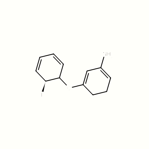 NC1=CCCC(OC2C=CC=C[C@@H]2I)=C1